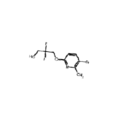 Cc1nc(OCC(F)(F)CO)ccc1Br